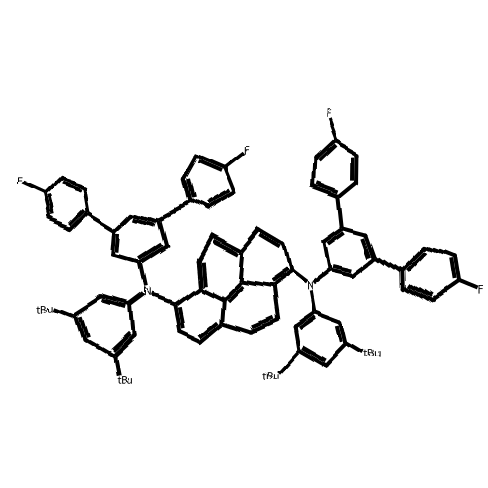 CC(C)(C)c1cc(N(c2cc(-c3ccc(F)cc3)cc(-c3ccc(F)cc3)c2)c2ccc3ccc4c(N(c5cc(-c6ccc(F)cc6)cc(-c6ccc(F)cc6)c5)c5cc(C(C)(C)C)cc(C(C)(C)C)c5)ccc5ccc2c3c54)cc(C(C)(C)C)c1